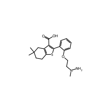 CN(N)CCOc1ccccc1-c1sc2c(c1C(=O)O)CC(C)(C)CC2